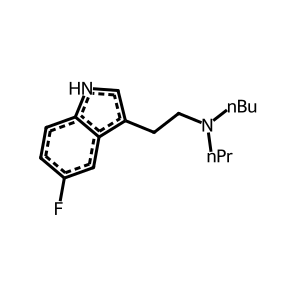 CCCCN(CCC)CCc1c[nH]c2ccc(F)cc12